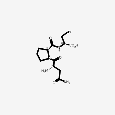 CC(C)C[C@H](NC(=O)[C@@H]1CCCN1C(=O)[C@@H](N)CC(N)=O)C(=O)O